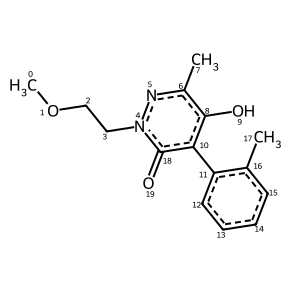 COCCn1nc(C)c(O)c(-c2ccccc2C)c1=O